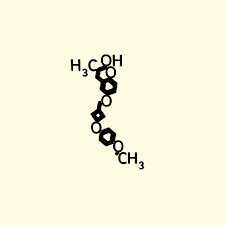 CCOc1ccc(OC2CC(COc3cccc(CC(C)C(=O)O)c3)C2)cc1